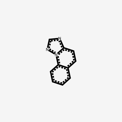 c1ccc2c(c1)ccc1ncnn12